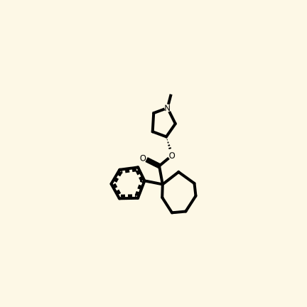 CN1CC[C@@H](OC(=O)C2(c3ccccc3)CCCCCC2)C1